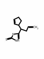 C=CCC(C1=CNC(=S)[N]1)C1C=CCC1